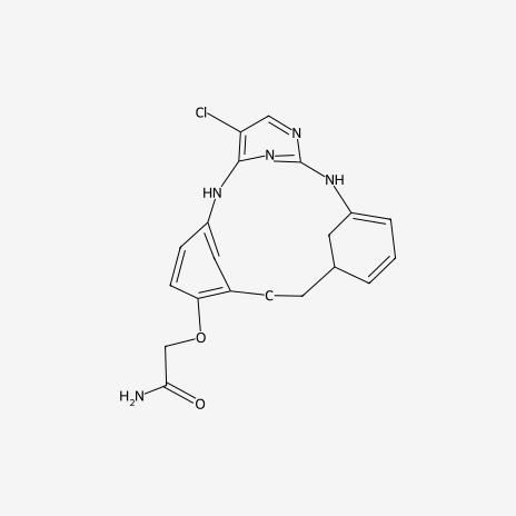 NC(=O)COc1ccc2cc1CCC1C=CC=C(C1)Nc1ncc(Cl)c(n1)N2